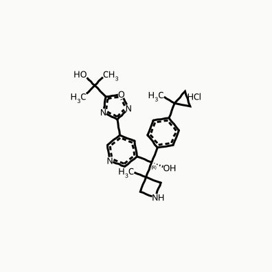 CC(C)(O)c1nc(-c2cncc([C@@](O)(c3ccc(C4(C)CC4)cc3)C3(C)CNC3)c2)no1.Cl